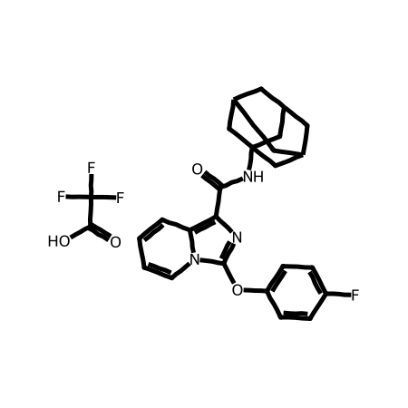 O=C(NC12CC3CC(CC(C3)C1)C2)c1nc(Oc2ccc(F)cc2)n2ccccc12.O=C(O)C(F)(F)F